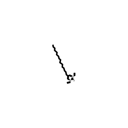 C=Cn1cc(CCCCCCCCCCCCCCCC)c[n+](C=C)c1=S